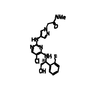 CNC(=O)Cn1cc(Nc2ncc(Cl)c(N[C@H](CO)c3ccccc3F)n2)cn1